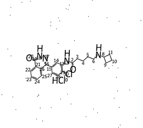 Cl.O=C(CCCCNC1CCC1)Nc1cc(-c2n[nH]c(=O)c3ccccc23)ccc1Cl